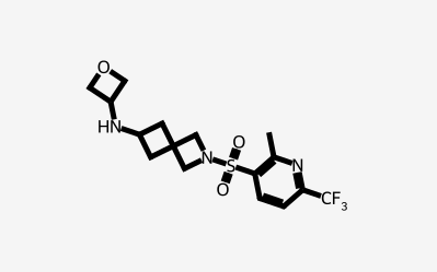 Cc1nc(C(F)(F)F)ccc1S(=O)(=O)N1CC2(CC(NC3COC3)C2)C1